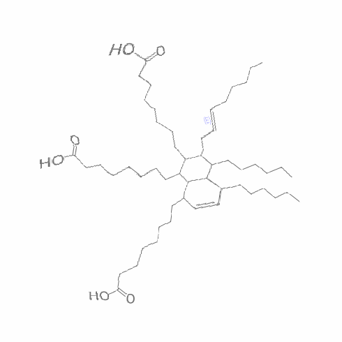 CCCCC/C=C/CC1C(CCCCCCCC(=O)O)C(CCCCCCCC(=O)O)C2C(CCCCCCCC(=O)O)C=CC(CCCCCC)C2C1CCCCCC